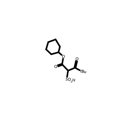 CC(C)(C)C(=O)C(C(=O)OC1CCCCC1)S(=O)(=O)O